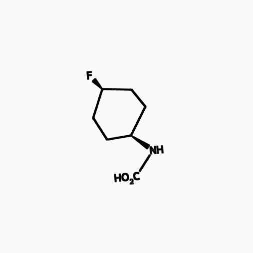 O=C(O)N[C@H]1CC[C@@H](F)CC1